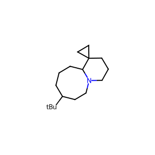 CC(C)(C)C1CCCC2N(CCCC23CC3)CC1